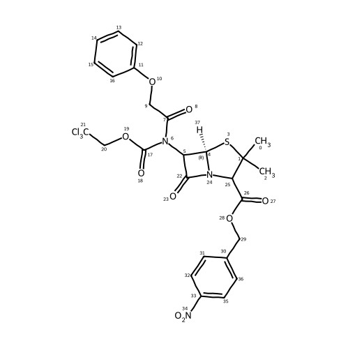 CC1(C)S[C@@H]2C(N(C(=O)COc3ccccc3)C(=O)OCC(Cl)(Cl)Cl)C(=O)N2C1C(=O)OCc1ccc([N+](=O)[O-])cc1